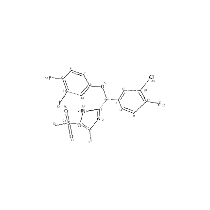 Cc1nc(C(Oc2ccc(F)c(F)c2)c2ccc(F)c(Cl)c2)[nH]c1S(C)(=O)=O